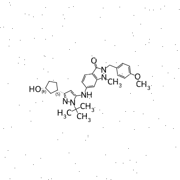 COc1ccc(Cn2c(=O)c3ccc(Nc4cc([C@H]5CC[C@@H](O)C5)nn4C(C)(C)C)cc3n2C)cc1